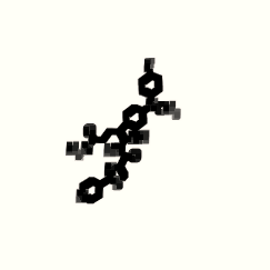 CN(c1ccc(F)cc1)c1ccc2c(CCC(N)=O)c(NC(=O)c3csc(-c4ccncc4)n3)[nH]c2c1